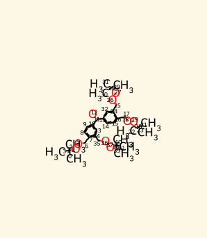 CC(C)(C)OOCc1ccc(C(=O)c2ccc(COOC(C)(C)C)c(COOC(C)(C)C)c2)cc1COOC(C)(C)C